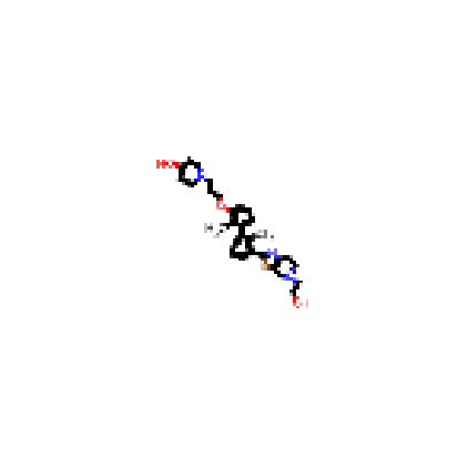 Cc1c(OCCCN2CCC(O)CC2)cccc1-c1cccc(-c2nc3c(s2)CN(CCO)CC3)c1C(F)(F)F